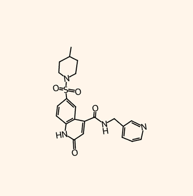 CC1CCN(S(=O)(=O)c2ccc3[nH]c(=O)cc(C(=O)NCc4cccnc4)c3c2)CC1